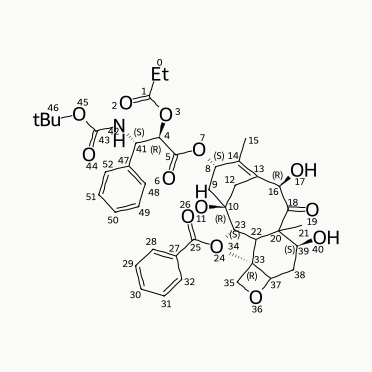 CCC(=O)O[C@@H](C(=O)O[C@H]1C[C@]2(O)CC(=C1C)[C@@H](O)C(=O)C1(C)C([C@@H]2OC(=O)c2ccccc2)[C@]2(C)COC2C[C@@H]1O)[C@@H](NC(=O)OC(C)(C)C)c1ccccc1